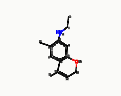 CCNc1cc2c(cc1C)C(C)=CCO2